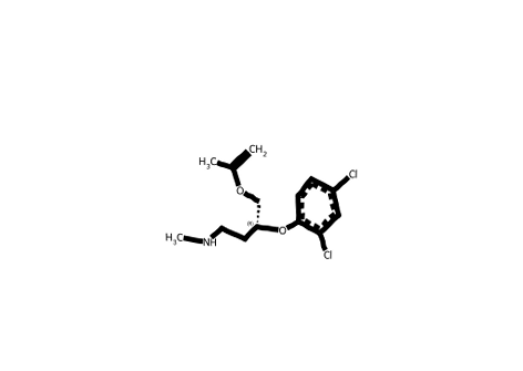 C=C(C)OC[C@@H](CCNC)Oc1ccc(Cl)cc1Cl